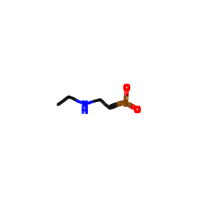 CCNCC=S(=O)=O